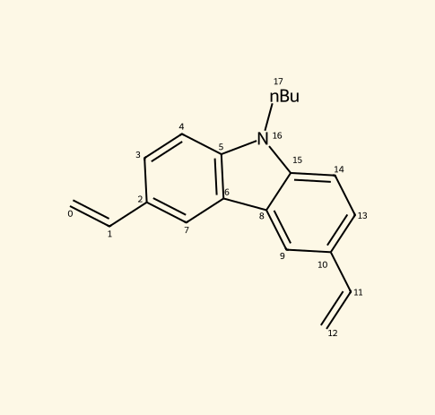 C=Cc1ccc2c(c1)c1cc(C=C)ccc1n2CCCC